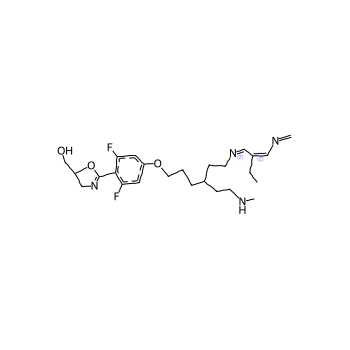 C=N/C=C(\C=N/CCC(CCCOc1cc(F)c(C2=NCC(CO)O2)c(F)c1)CCNC)CC